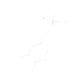 Cc1nc(B2OC(C)(C)C(C)(C)O2)cnc1N